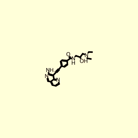 CCN(CC)CC(O)CNC(=O)c1ccc(C#Cc2c(N)ncc3cccnc23)cc1